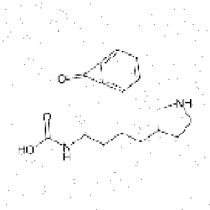 O=C(O)NCCCCC1CCNC1.O=c1c2ccccc12